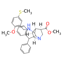 COC(=O)[C@H]1CN2CC[C@@H]1[C@H](NCc1cc(SC)ccc1OC)[C@@H]2C(c1ccccc1)c1ccccc1